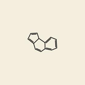 C1=CC2C(=C1)C=Cc1ccccc12